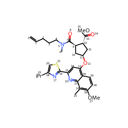 C=CCCCN(C)C(=O)[C@@H]1C[C@H](Oc2cc(-c3nc(C(C)C)cs3)nc3c(C)c(OC)ccc23)C[C@H]1C(=O)OC